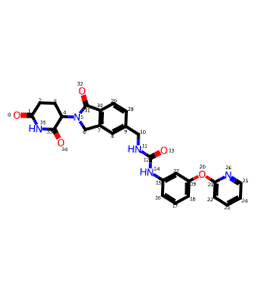 O=C1CCC(N2Cc3cc(CNC(=O)Nc4cccc(Oc5ccccn5)c4)ccc3C2=O)C(=O)N1